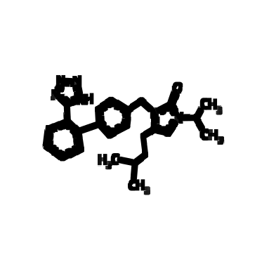 CC(C)CCc1cn(C(C)C)c(=O)n1Cc1ccc(-c2ccccc2-c2nnn[nH]2)cc1